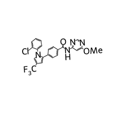 COc1cc(NC(=O)c2ccc(-c3cc(C(F)(F)F)cn3-c3ccccc3Cl)cc2)ncn1